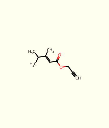 C#CCOC(=O)/C=C(\C)C(C)C